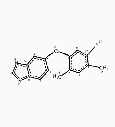 Cc1cc(C)c(Oc2ccn3ncnc3c2)cc1F